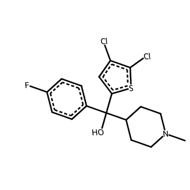 CN1CCC(C(O)(c2ccc(F)cc2)c2cc(Cl)c(Cl)s2)CC1